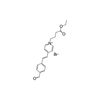 CCOC(=O)CCC[n+]1ccc(C=Cc2ccc(C=O)cc2)cc1.[Br-]